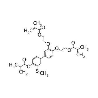 C=C(C)C(=O)OCCOc1ccc(-c2ccc(OC(=O)C(=C)C)c(SC)c2)cc1OCCOC(=O)C(=C)C